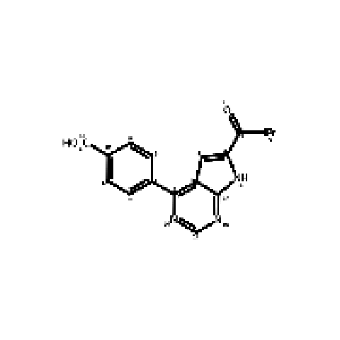 CC(C)C(=O)c1cc2c(-c3ccc(C(=O)O)cc3)ncnc2[nH]1